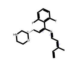 C=C\C(C)=C/C=N/C(=C/C[C@H]1CNCCO1)c1c(F)cccc1F